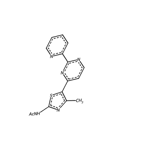 CC(=O)Nc1nc(C)c(-c2ccnc(-c3ccccn3)n2)s1